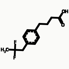 CC(F)(F)Cc1ccc(CCCC(=O)O)cc1